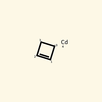 [CH]1C=CC1.[Cd]